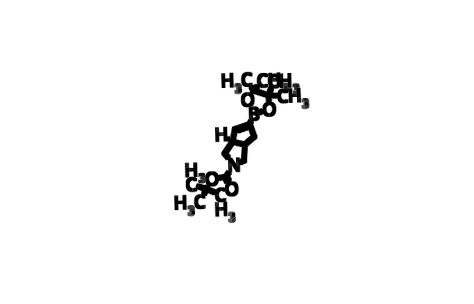 CC(C)(C)OC(=O)N1CC2CC(B3OC(C)(C)C(C)(C)O3)=C[C@H]2C1